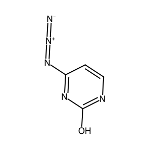 [N-]=[N+]=Nc1ccnc(O)n1